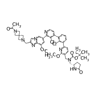 COc1nc(-c2cccc(-c3ccnc(-c4cc(OC)c5nc(CN6CC7(C6)CN(C(C)=O)C7)cn5c4)c3Cl)c2Cl)ccc1CN(C[C@@H]1CCC(=O)N1)C(=O)OC(C)(C)C